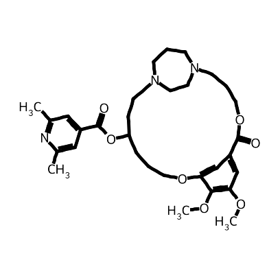 COc1cc2cc(c1OC)OCCCC(OC(=O)c1cc(C)nc(C)c1)CCN1CCCN(CCCOC2=O)CC1